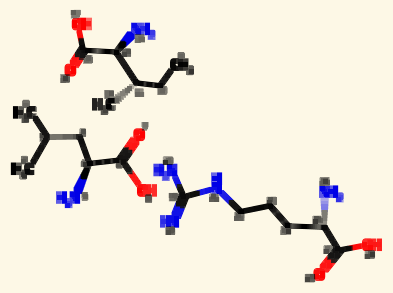 CC(C)C[C@H](N)C(=O)O.CC[C@H](C)[C@H](N)C(=O)O.N=C(N)NCCC[C@H](N)C(=O)O